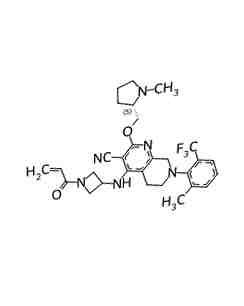 C=CC(=O)N1CC(Nc2c(C#N)c(OC[C@@H]3CCCN3C)nc3c2CCN(c2c(C)cccc2C(F)(F)F)C3)C1